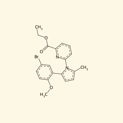 CCOC(=O)c1cccc(-n2c(C)ccc2-c2cc(Br)ccc2OC)n1